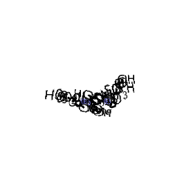 COc1ccc(S(=O)(=O)CCOSOOO)cc1/N=N/c1c(SOOO)cc2c(/N=N/c3ccccc3S(=O)(=O)CCOSOOO)c(NCS(=O)(=O)O)ccc2c1O